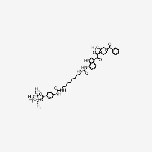 C[C@@H]1CN(C(=O)c2ccccc2)CCN1C(=O)C(=O)c1c[nH]c2c(NC(=O)NCCCCCCCCNC(=O)Nc3ccc(B4OC(C)(C)C(C)(C)O4)cc3)cccc12